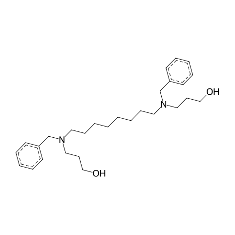 OCCCN(CCCCCCCCN(CCCO)Cc1ccccc1)Cc1ccccc1